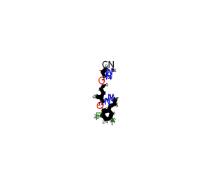 C=C(CCCOc1cc(C#N)n(C)n1)C(=O)N1N=CCC1c1cc(F)cc(F)c1